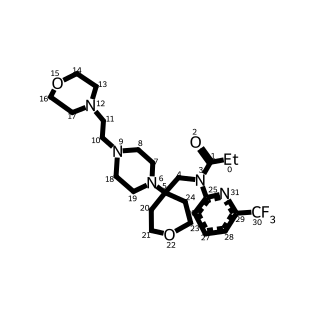 CCC(=O)N(CC1(N2CCN(CCN3CCOCC3)CC2)CCOCC1)c1cccc(C(F)(F)F)n1